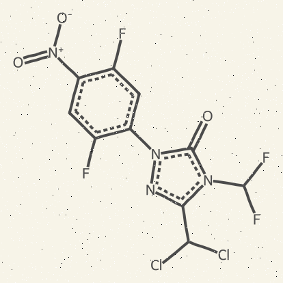 O=c1n(-c2cc(F)c([N+](=O)[O-])cc2F)nc(C(Cl)Cl)n1C(F)F